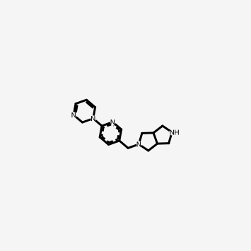 C1=CN(c2ccc(CN3CC4CNCC4C3)cn2)CN=C1